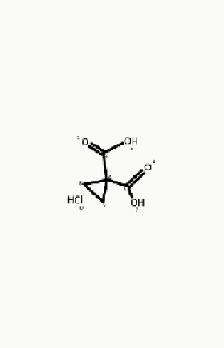 Cl.O=C(O)C1(C(=O)O)CC1